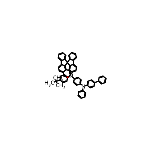 CC(C)(C)c1ccc(N(c2ccc(N(c3ccccc3)c3ccc(-c4ccccc4)cc3)cc2)c2ccc3c(c2)C2(c4ccccc4-3)c3ccccc3-c3ccc4ccccc4c32)cc1